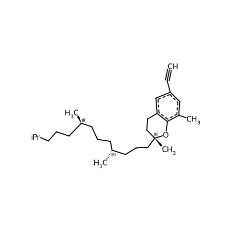 C#Cc1cc(C)c2c(c1)CC[C@@](C)(CCC[C@H](C)CCC[C@H](C)CCCC(C)C)O2